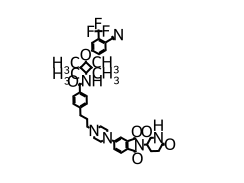 CC1(C)C(NC(=O)c2ccc(CCCN3CCN(c4ccc5c(c4)C(=O)N(C4CCC(=O)NC4=O)C5=O)CC3)cc2)C(C)(C)C1Oc1ccc(C#N)c(C(F)(F)F)c1